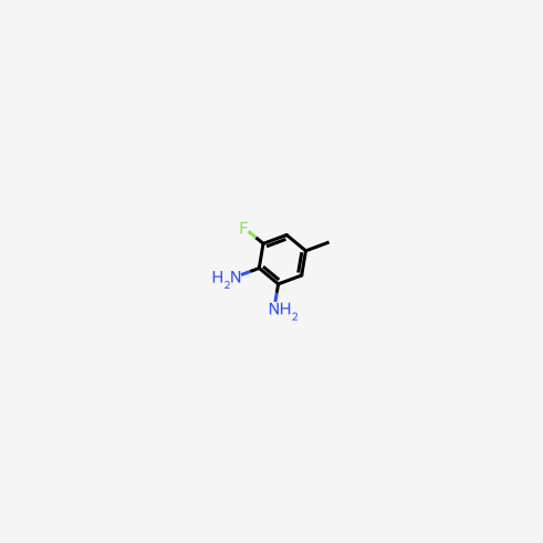 Cc1cc(N)c(N)c(F)c1